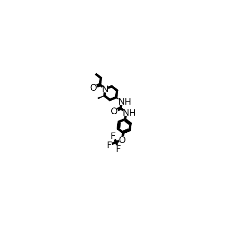 CCC(=O)N1CC[C@H](NC(=O)Nc2ccc(OC(F)(F)F)cc2)C[C@H]1C